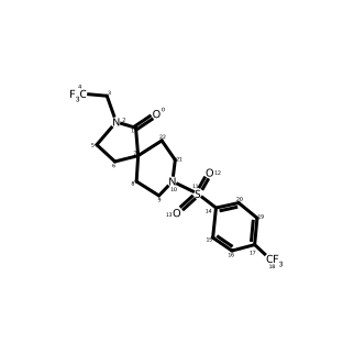 O=C1N(CC(F)(F)F)CCC12CCN(S(=O)(=O)c1ccc(C(F)(F)F)cc1)CC2